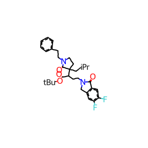 CC(C)CC1(C(CCN2Cc3cc(F)c(F)cc3C2=O)C(=O)OC(C)(C)C)CCN(CCc2ccccc2)C1=O